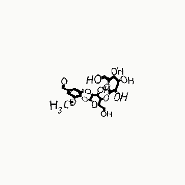 COc1cc(C=O)ccc1OC1OC(CO)C(OC2OC(CO)C(O)C(O)C2O)C(O)C1O